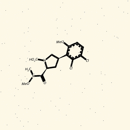 COc1ccc(Cl)c(Cl)c1[C@H]1C[C@@H](C(=O)N(C)OC)N(C(=O)O)C1